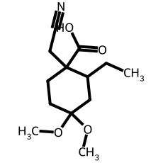 CCC1CC(OC)(OC)CCC1(CC#N)C(=O)O